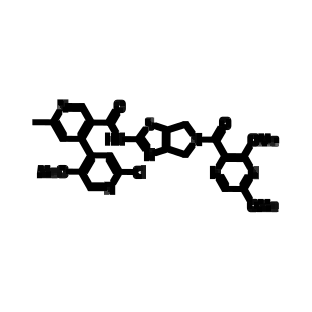 COc1cnc(C(=O)N2Cc3nc(NC(=O)c4cnc(C)cc4-c4cc(Cl)ncc4OC)sc3C2)c(OC)n1